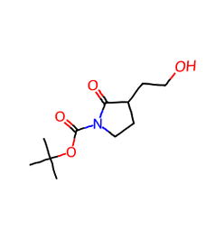 CC(C)(C)OC(=O)N1CCC(CCO)C1=O